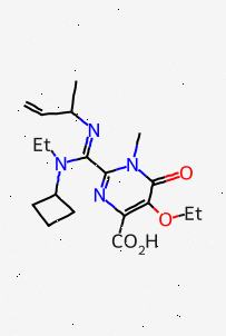 C=CC(C)/N=C(/c1nc(C(=O)O)c(OCC)c(=O)n1C)N(CC)C1CCC1